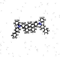 c1ccc(-c2ccc(N(c3ccccc3)c3ccc(-c4ccc(-c5ccc(N(c6ccccc6)c6ccc(-c7ccccc7)cc6)cc5-c5cccc(-c6ccccc6)c5)cc4)cc3)cc2)cc1